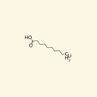 CCCCCCCCCC(=O)O.[Li]